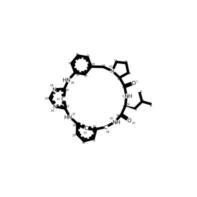 CC(C)C[C@@H]1NC(=O)C2CCCN2Cc2cccc(c2)Nc2cc(ncn2)Nc2cccc(c2)CNC1=O